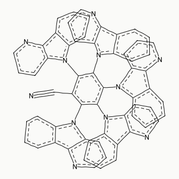 N#Cc1c(-n2c3ccccc3c3ncccc32)c(-n2c3ccccc3c3ncccc32)c(-n2c3ccccc3c3ncccc32)c(-n2c3ccccc3c3ncccc32)c1-n1c2ccccc2c2ncccc21